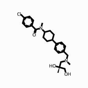 CN(Cc1ccc(C2CCC(N(C)C(=O)c3ccc(Cl)cc3)CC2)cc1)C[C@@](C)(O)CO